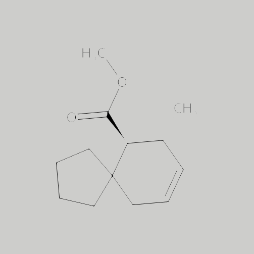 COC(=O)[C@H]1[C@H](C)C=CCC12CCCC2